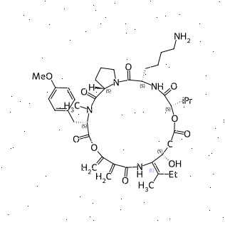 C=C1OC(=O)[C@H](Cc2ccc(OC)cc2)N(C)C(=O)[C@@H]2CCCN2C(=O)[C@H](CCCCN)NC(=O)[C@H](C(C)C)OC(=O)C[C@H](O)/C(=C(/C)CC)NC(=O)C1=C